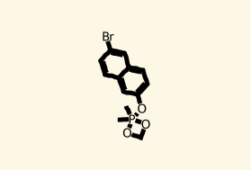 CP1(C)(Oc2ccc3cc(Br)ccc3c2)OCO1